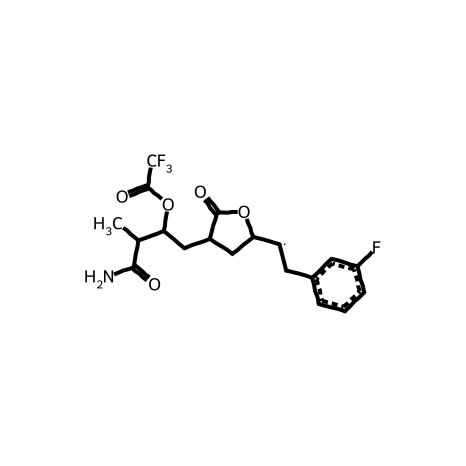 CC(C(N)=O)C(CC1CC([CH]Cc2cccc(F)c2)OC1=O)OC(=O)C(F)(F)F